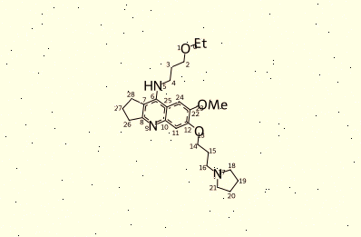 CCOCCCNc1c2c(nc3cc(OCCCN4CCCC4)c(OC)cc13)CCC2